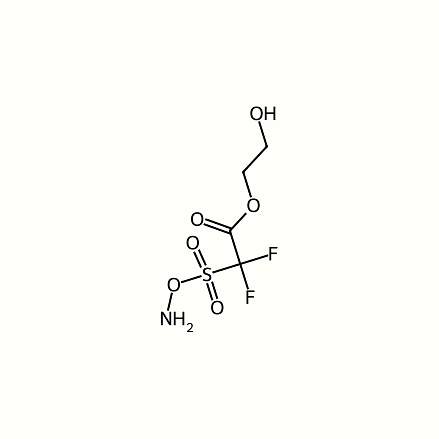 NOS(=O)(=O)C(F)(F)C(=O)OCCO